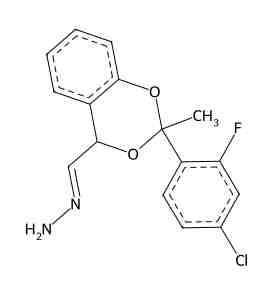 CC1(c2ccc(Cl)cc2F)Oc2ccccc2C(/C=N/N)O1